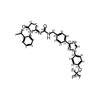 CC(C)c1ccccc1N1C(=O)CSC1=NC(=O)NCc1ccc(-c2ncn(-c3ccc(OC(F)(F)F)cc3)n2)cc1